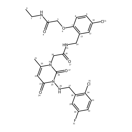 CCNC(=O)COc1ccc(Cl)cc1CNC(=O)Cn1c(C)cc(=O)n(NCc2cc(F)ccc2Cl)c1=O